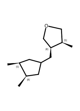 C[C@@H]1COC[C@@H]1CC1C[C@@H](C)[C@@H](C)C1